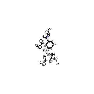 CO/N=C(\C)c1cccc(ON2N=C(OC)C=C(OC)N2)c1C(=O)OC